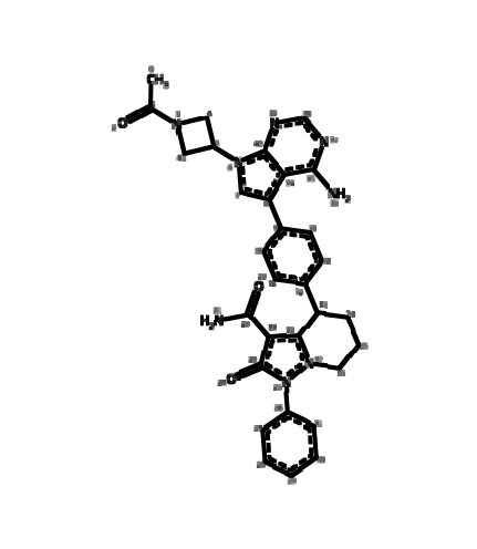 CC(=O)N1CC(n2cc(-c3ccc(C4CCCn5c4c(C(N)=O)c(=O)n5-c4ccccc4)cc3)c3c(N)ncnc32)C1